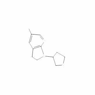 Cc1cnc2c(c1)CCN2C1CCNC1